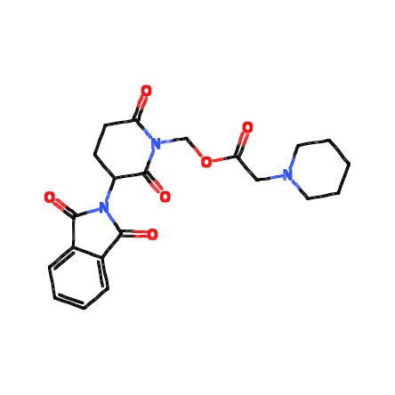 O=C(CN1CCCCC1)OCN1C(=O)CCC(N2C(=O)c3ccccc3C2=O)C1=O